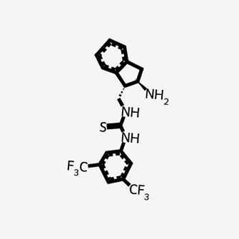 N[C@@H]1Cc2ccccc2[C@H]1CNC(=S)Nc1cc(C(F)(F)F)cc(C(F)(F)F)c1